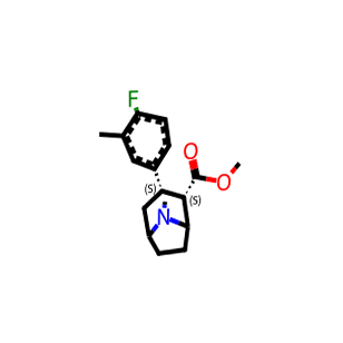 COC(=O)[C@@H]1C2CCC(C[C@@H]1c1ccc(F)c(C)c1)N2C